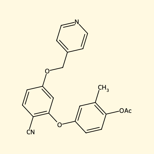 CC(=O)Oc1ccc(Oc2cc(OCc3ccncc3)ccc2C#N)cc1C